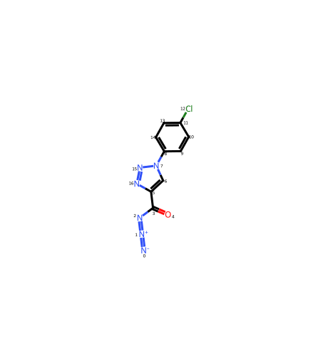 [N-]=[N+]=NC(=O)c1cn(-c2ccc(Cl)cc2)nn1